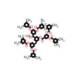 Cc1cc(C)cc(C(=O)Oc2cc(Cc3cc(OC(=O)c4cc(OC(=O)c5cc(C)cc(C)c5)cc(OC(=O)c5cc(C)cc(C)c5)c4)cc(C(OO)c4cc(OC(=O)c5cc(C)cc(C)c5)cc(OC(=O)c5cc(C)cc(C)c5)c4)c3)cc(OC(=O)c3cc(C)cc(C)c3)c2)c1